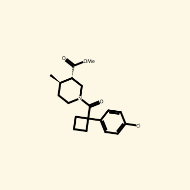 COC(=O)[C@@H]1CN(C(=O)C2(c3ccc(Cl)cc3)CCC2)CC[C@H]1C